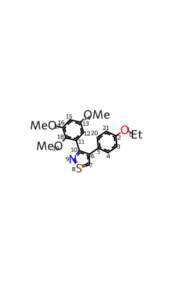 CCOc1ccc(-c2csnc2-c2cc(OC)cc(OC)c2OC)cc1